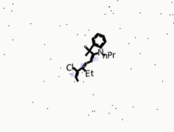 C\C=C(Cl)/C(=C/C=C1/N(CCC)c2ccccc2C1(C)C)CC